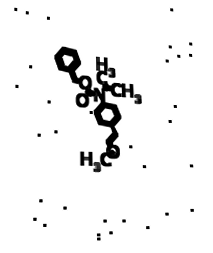 COCC[C@H]1CC[C@H](N(C(=O)OCc2ccccc2)C(C)C)CC1